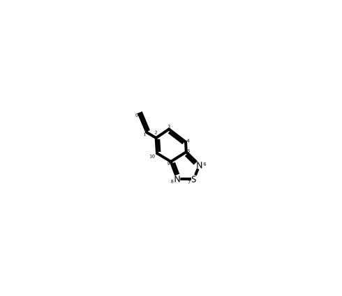 C=Cc1ccc2nsnc2c1